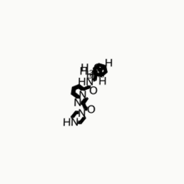 CC1(C)[C@H]2CC[C@@H](CNC(=O)c3cccc4nc(C(=O)N5CCNCC5)cn34)[C@@H]1C2